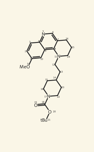 COc1ccc2ncc3c(c2c1)N(CCC1CCN(C(=O)OC(C)(C)C)CC1)CCC3